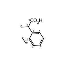 CC.CC(C(=O)O)c1ccccc1